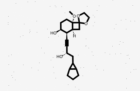 CO[C@@]12CC[C@H](O)[C@H](C#C[C@@H](O)CC3C4CCCC43)[C@@H]1CC21OCCO1